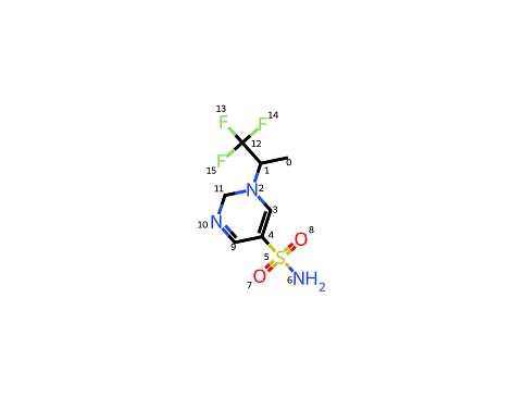 CC(N1C=C(S(N)(=O)=O)C=NC1)C(F)(F)F